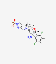 Cc1c(F)cc([C@@]2(C)O[C@](C)(C(F)(F)F)[C@H](N3Cc4nn(S(C)(=O)=O)cc4C3C)C[C@]2(C)N)c(F)c1C